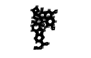 COC(=O)c1ccc2c(c1)nc1n2CC[C@H]2[C@@H]1[C@H](c1cccc(Cl)c1F)[C@]1(C(=O)Nc3cc(Cl)ccc31)N2CC1CCC1